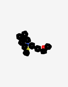 c1ccc(C2(c3ccccc3)c3ccccc3-c3c(N(c4ccc(-c5ccc(-c6cccc7c6oc6ccccc67)cc5)cc4)c4cccc5c4sc4ccccc45)cccc32)cc1